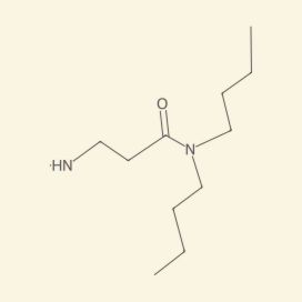 CCCCN(CCCC)C(=O)CC[NH]